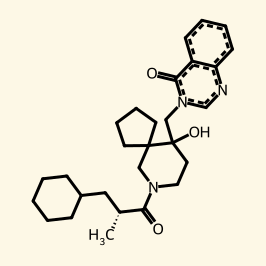 C[C@H](CC1CCCCC1)C(=O)N1CCC(O)(Cn2cnc3ccccc3c2=O)C2(CCCC2)C1